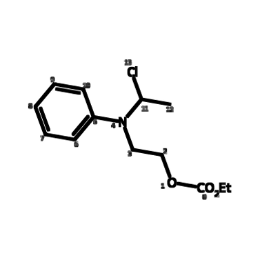 CCOC(=O)OCCN(c1ccccc1)C(C)Cl